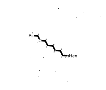 CCCCCCCCCCCCOCC(C)=O